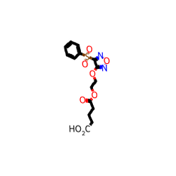 O=C(O)CCCC(=O)OCCOc1nonc1S(=O)(=O)c1ccccc1